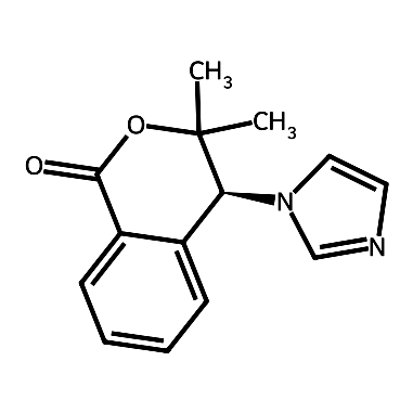 CC1(C)OC(=O)c2ccccc2[C@@H]1n1ccnc1